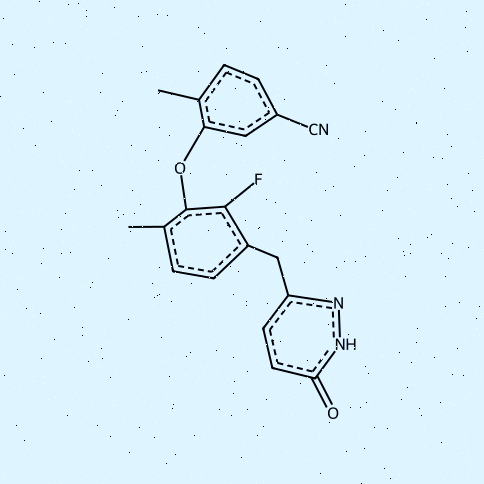 Cc1ccc(C#N)cc1Oc1c(C)ccc(Cc2ccc(=O)[nH]n2)c1F